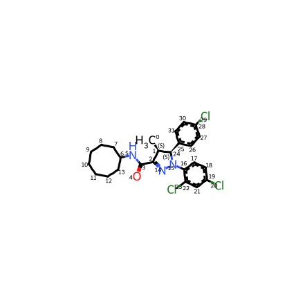 C[C@@H]1C(C(=O)NC2CCCCCCC2)=NN(c2ccc(Cl)cc2Cl)[C@@H]1c1ccc(Cl)cc1